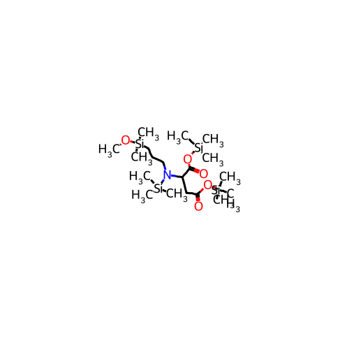 CO[Si](C)(C)CCCN(C(CC(=O)O[Si](C)(C)C)C(=O)O[Si](C)(C)C)[Si](C)(C)C